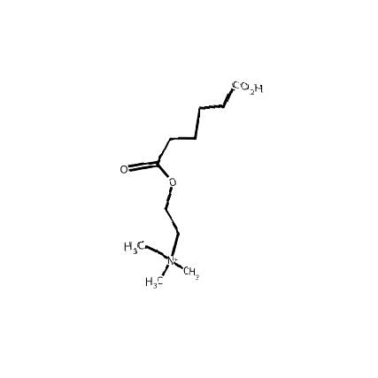 C[N+](C)(C)CCOC(=O)CCCCC(=O)O